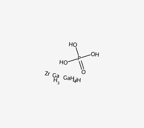 O=P(O)(O)O.[GaH3].[GaH3].[LiH].[Zr]